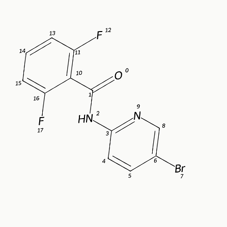 O=C(Nc1ccc(Br)cn1)c1c(F)cccc1F